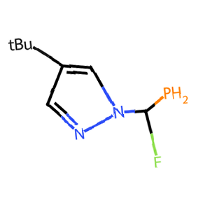 CC(C)(C)c1cnn(C(F)P)c1